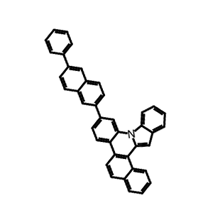 c1ccc(-c2ccc3cc(-c4ccc5c6ccc7ccccc7c6c6cc7ccccc7n6c5c4)ccc3c2)cc1